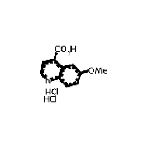 COc1ccc2nccc(C(=O)O)c2c1.Cl.Cl